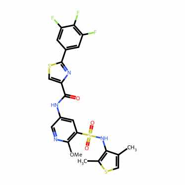 COc1ncc(NC(=O)c2csc(-c3cc(F)c(F)c(F)c3)n2)cc1S(=O)(=O)Nc1c(C)csc1C